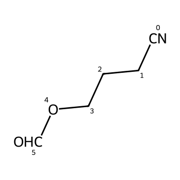 N#CCCCOC=O